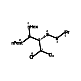 CCCCCCC(CCCCC)[C@H](SSC(C)C)C(Cl)Cl